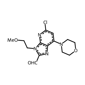 COCCn1c(C=O)nc2c(N3CCOCC3)cc(Cl)nc21